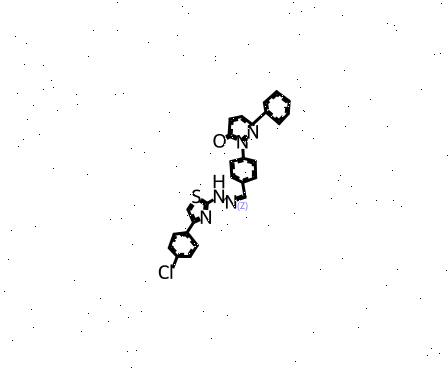 O=c1ccc(-c2ccccc2)nn1-c1ccc(/C=N\Nc2nc(-c3ccc(Cl)cc3)cs2)cc1